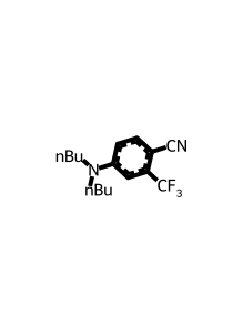 CCCCN(CCCC)c1ccc(C#N)c(C(F)(F)F)c1